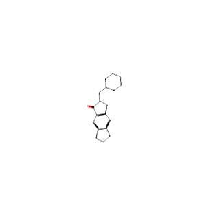 O=C1c2cc3c(cc2CC1CC1CCCCC1)CCC3